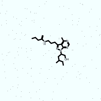 C=C(CCC)NCCCc1nn(C(CO)CC(C)CC)c2ncnc(C)c12